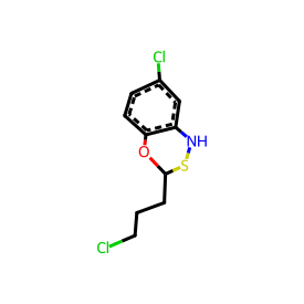 ClCCCC1Oc2ccc(Cl)cc2NS1